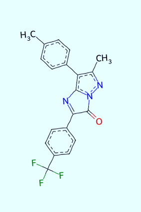 Cc1ccc(-c2c(C)nn3c2N=C(c2ccc(C(F)(F)F)cc2)C3=O)cc1